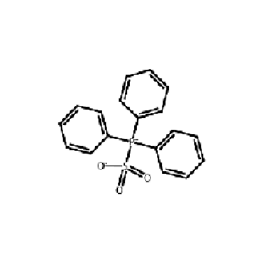 O=S(=O)([O-])[P+](c1ccccc1)(c1ccccc1)c1ccccc1